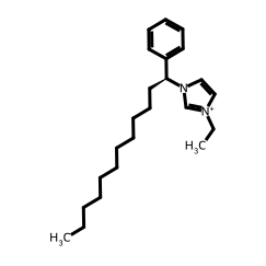 CCCCCCCCCCC[C@@H](c1ccccc1)n1cc[n+](CC)c1